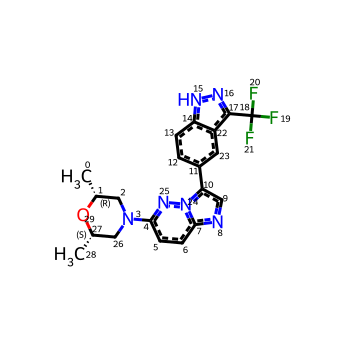 C[C@@H]1CN(c2ccc3ncc(-c4ccc5[nH]nc(C(F)(F)F)c5c4)n3n2)C[C@H](C)O1